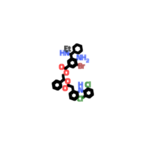 CCNC(c1cc(C(=O)OCC(OC(=O)Cc2ccccc2Nc2c(Cl)cccc2Cl)c2ccccc2)cc(Br)c1N)C1CCCCC1